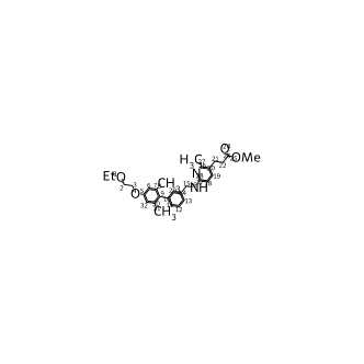 CCOCCOc1cc(C)c(-c2cccc(CNc3ccc(CCC(=O)OC)c(C)n3)c2)c(C)c1